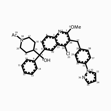 COc1nc2ccc(C(O)(c3ccccc3)C3CCN(C(C)=O)CC3)cc2c(Cl)c1Cc1ccc(-n2cccn2)cc1